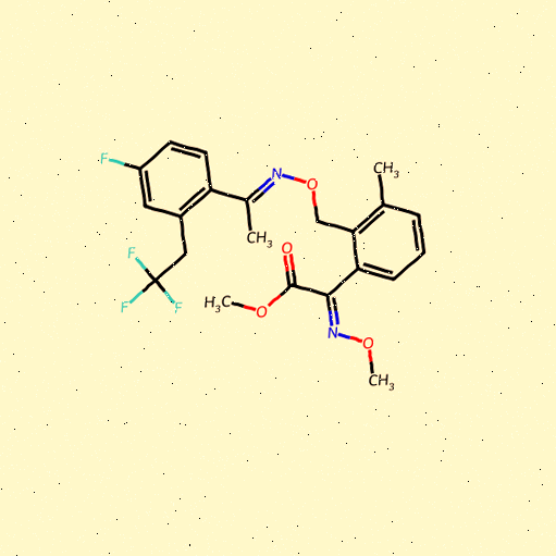 CO/N=C(/C(=O)OC)c1cccc(C)c1CO/N=C(\C)c1ccc(F)cc1CC(F)(F)F